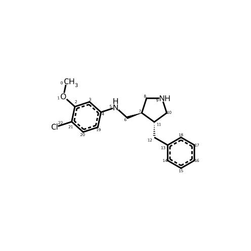 COc1cc(NC[C@H]2CNC[C@@H]2Cc2ccccc2)ccc1Cl